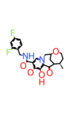 C[C@@H]1CCOC2CC1C(=O)c1c(O)c(=O)c(C(=O)NCc3ccc(F)cc3F)cn1C2